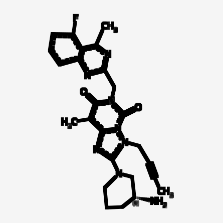 CC#CCn1c(N2CCC[C@@H](N)C2)nc2c(C)c(=O)n(Cc3nc(C)c4c(F)cccc4n3)c(=O)n21